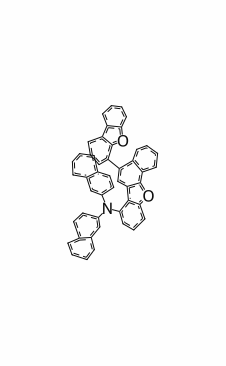 c1ccc2cc(N(c3ccc4ccccc4c3)c3cccc4oc5c6ccccc6c(-c6cccc7c6oc6ccccc67)cc5c34)ccc2c1